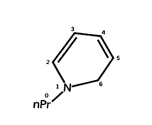 [CH2]CCN1C=CC=CC1